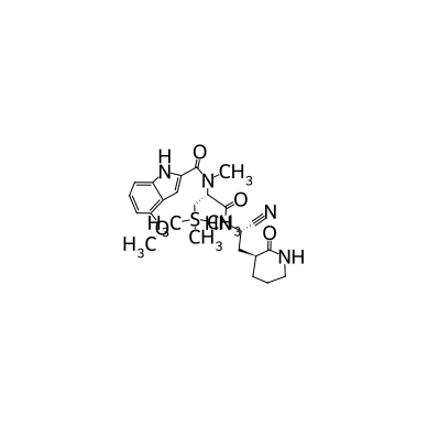 COc1cccc2[nH]c(C(=O)N(C)[C@@H](CS(C)(C)C)C(=O)N[C@H](C#N)C[C@@H]3CCCNC3=O)cc12